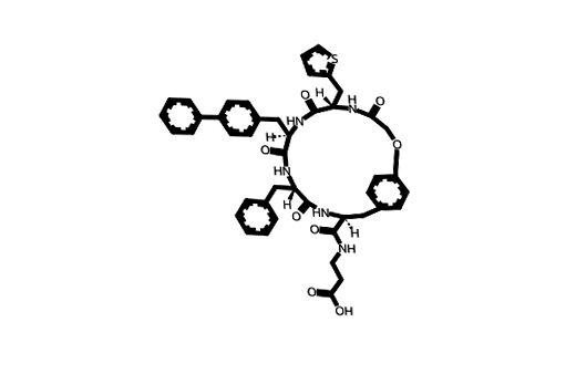 O=C(O)CCNC(=O)[C@@H]1Cc2ccc(cc2)OCC(=O)N[C@@H](Cc2cccs2)C(=O)N[C@H](Cc2ccc(-c3ccccc3)cc2)C(=O)N[C@@H](Cc2ccccc2)C(=O)N1